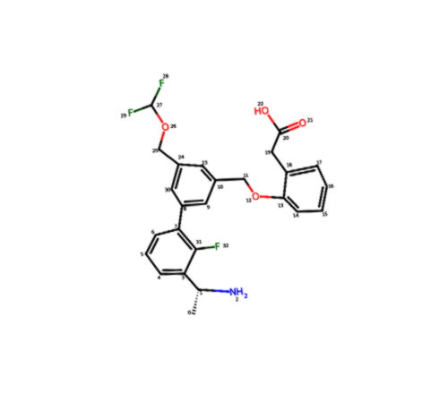 C[C@@H](N)c1cccc(-c2cc(COc3ccccc3CC(=O)O)cc(COC(F)F)c2)c1F